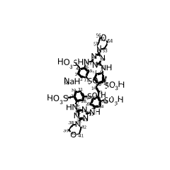 O=S(=O)(O)c1ccc(S(=O)(=O)O)c(Nc2nc(Nc3ccc(C=Cc4ccc(Nc5nc(Nc6cc(S(=O)(=O)O)ccc6S(=O)(=O)O)nc(N6CCOCC6)n5)cc4S(=O)(=O)O)c(S(=O)(=O)O)c3)nc(N3CCOCC3)n2)c1.[NaH]